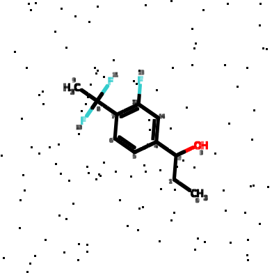 CCC(O)c1ccc(C(C)(F)F)c(F)c1